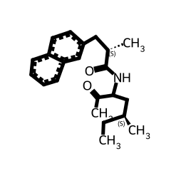 CC[C@H](C)CC(NC(=O)[C@@H](C)Cc1ccc2ccccc2c1)C(C)=O